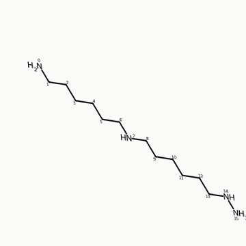 NCCCCCCNCCCCCCNN